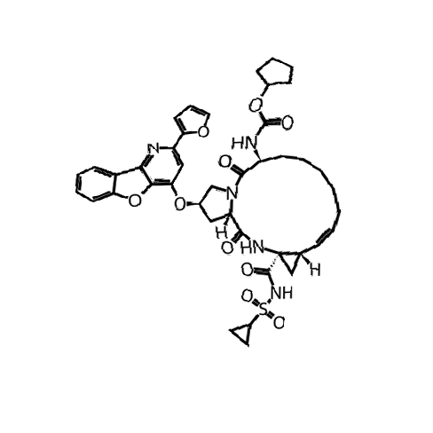 O=C(N[C@H]1CCCCC/C=C\[C@@H]2C[C@@]2(C(=O)NS(=O)(=O)C2CC2)NC(=O)[C@@H]2C[C@@H](Oc3cc(-c4ccco4)nc4c3oc3ccccc34)CN2C1=O)OC1CCCC1